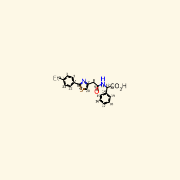 CCc1ccc(-c2nc(CC(=O)NC(C(=O)O)c3ccccc3)cs2)cc1